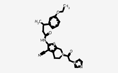 CCOc1cccc(C(C)CC(=O)Nc2sc3c(c2C#N)CCN(C(=O)Cn2ccnc2)C3)c1